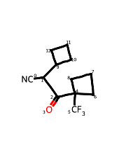 N#CC(C(=O)C1(C(F)(F)F)CCC1)C1CCC1